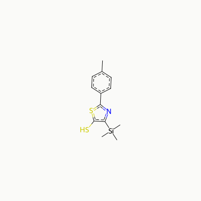 Cc1ccc(-c2nc([Si](C)(C)C)c(S)s2)cc1